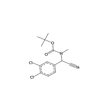 CN(C(=O)OC(C)(C)C)C(C#N)c1ccc(Cl)c(Cl)c1